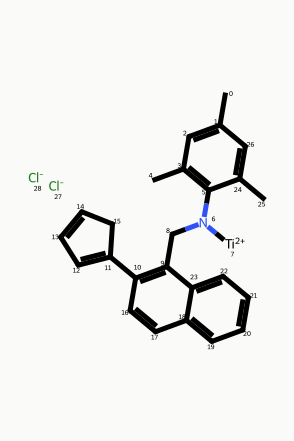 Cc1cc(C)c([N]([Ti+2])Cc2c(C3=CC=CC3)ccc3ccccc23)c(C)c1.[Cl-].[Cl-]